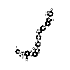 N#Cc1c(NS(=O)(=O)N2CC[C@@H](F)C2)ccc(F)c1Oc1ccc2ncn(-c3cnc(N4CCN(C(=O)CC5(O)CCN(c6ccc7c(c6)CN([C@H]6CCC(=O)NC6=O)C7=O)CC5)CC4)nc3)c(=O)c2c1